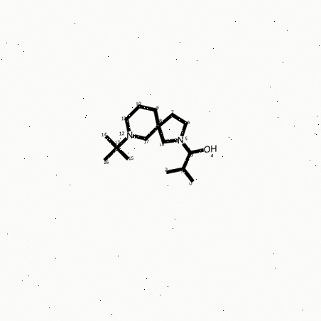 CC(C)C(O)N1CCC2(CCCN(C(C)(C)C)C2)C1